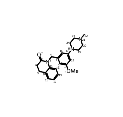 COc1cc(CN2C(=O)CCc3ccccc32)cc(N2CCN(C)CC2)c1